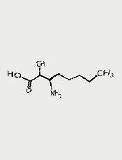 CCCCCC(N)C(O)C(=O)O